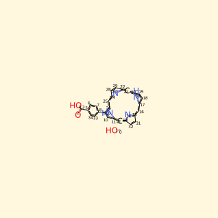 CO.O=C(O)c1ccc(-c2cc3cc4nc(cc5ccc(cc6nc(cc2[nH]3)C=C6)[nH]5)C=C4)cc1